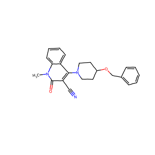 Cn1c(=O)c(C#N)c(N2CCC(OCc3ccccc3)CC2)c2ccccc21